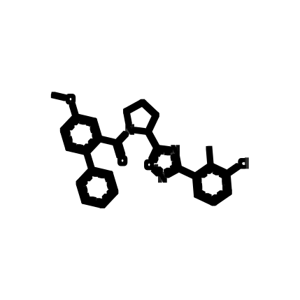 COc1ccc(-c2ccccc2)c(C(=O)N2CCCC2c2nc(-c3cccc(Cl)c3C)no2)c1